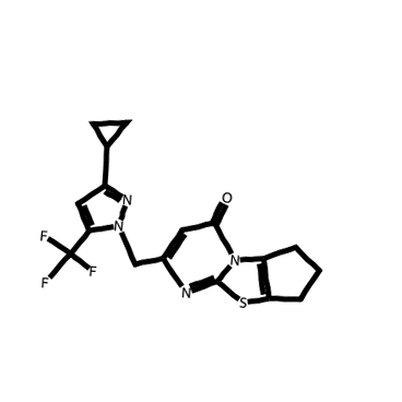 O=c1cc(Cn2nc(C3CC3)cc2C(F)(F)F)nc2sc3c(n12)CCC3